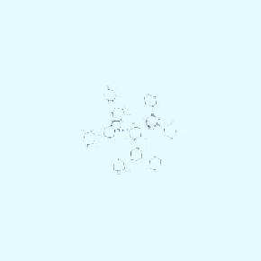 c1ccc(-c2cc(-c3ccccc3)cc(-c3cc(-c4nc(-c5ccccc5)nc(-c5ccccc5)n4)cc(-n4c5ccc(-c6ccccc6)cc5c5cc(-c6ccccc6)ccc54)c3)c2)cc1